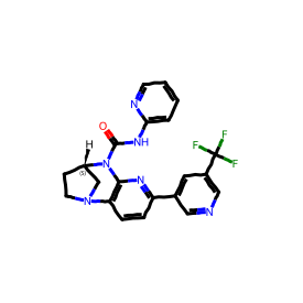 O=C(Nc1ccccn1)N1c2nc(-c3cncc(C(F)(F)F)c3)ccc2N2CC[C@H]1C2